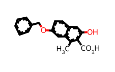 Cc1c(C(=O)O)c(O)cc2ccc(OCc3ccccc3)cc12